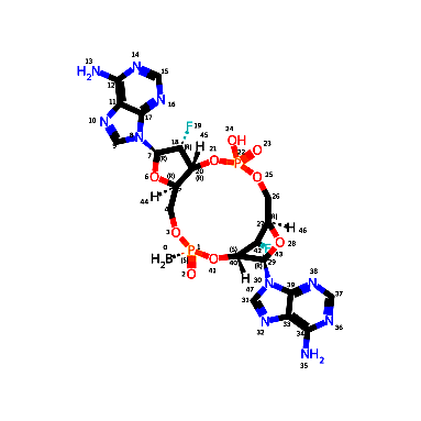 B[P@]1(=O)OC[C@H]2O[C@@H](n3cnc4c(N)ncnc43)[C@H](F)[C@@H]2OP(=O)(O)OC[C@H]2O[C@@H](n3cnc4c(N)ncnc43)[C@H](O1)C2F